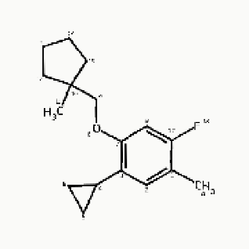 Cc1cc(C2CC2)c(OCC2(C)CCCC2)cc1F